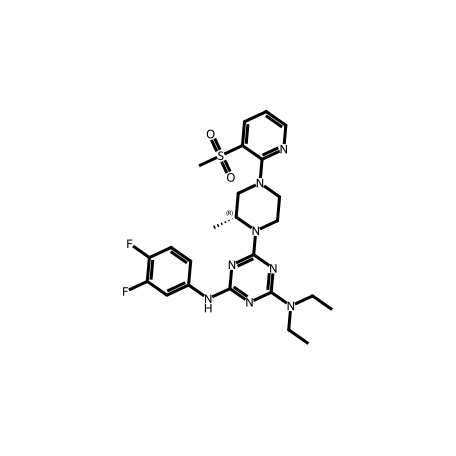 CCN(CC)c1nc(Nc2ccc(F)c(F)c2)nc(N2CCN(c3ncccc3S(C)(=O)=O)C[C@H]2C)n1